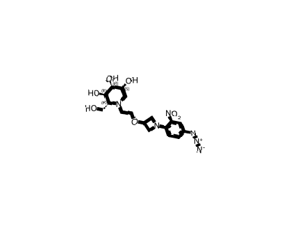 [N-]=[N+]=Nc1ccc(N2CC(OCCN3C[C@H](O)[C@@H](O)[C@H](O)[C@H]3CO)C2)c([N+](=O)[O-])c1